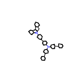 c1ccc(-c2ccc(N(c3ccc(-c4ccccc4)cc3)c3ccc(-c4ccc(-n5c6c(c7ccccc75)-c5ccccc5C6)cc4)cc3)cc2)cc1